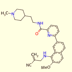 C=C(C#N)CNc1c(OC)ccc2ccc(-c3cccc(C(=O)NCCC4CCN(C)CC4)n3)cc12